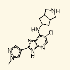 Cn1cc(-c2nc3c(NC4CC5CNCC5C4)c(Cl)cnc3[nH]2)cn1